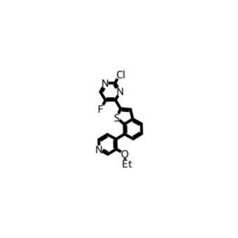 CCOc1cnccc1-c1cccc2cc(-c3nc(Cl)ncc3F)sc12